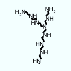 CNCCNCCNCCNCCN(CCNCCN)CCNCCNCCN